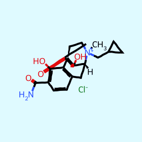 C[N+]1(CC2CC2)CC[C@]23CC(=O)CCC2(O)[C@H]1Cc1ccc(C(N)=O)c(O)c13.[Cl-]